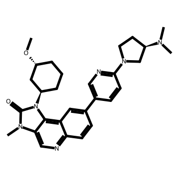 CO[C@@H]1CCC[C@@H](n2c(=O)n(C)c3cnc4ccc(-c5ccc(N6CC[C@@H](N(C)C)C6)nc5)cc4c32)C1